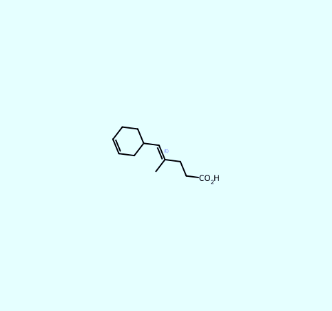 C/C(=C\C1CC=CCC1)CCC(=O)O